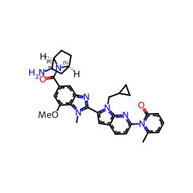 COc1cc(C(=O)N2[C@H]3CC[C@@H]2[C@H](N)C3)cc2nc(-c3cc4ccc(-n5c(C)cccc5=O)nc4n3CC3CC3)n(C)c12